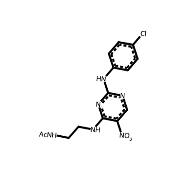 CC(=O)NCCNc1nc(Nc2ccc(Cl)cc2)ncc1[N+](=O)[O-]